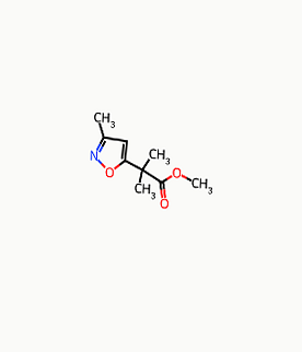 COC(=O)C(C)(C)c1cc(C)no1